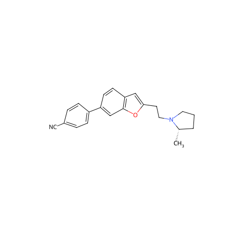 C[C@H]1CCCN1CCc1cc2ccc(-c3ccc(C#N)cc3)cc2o1